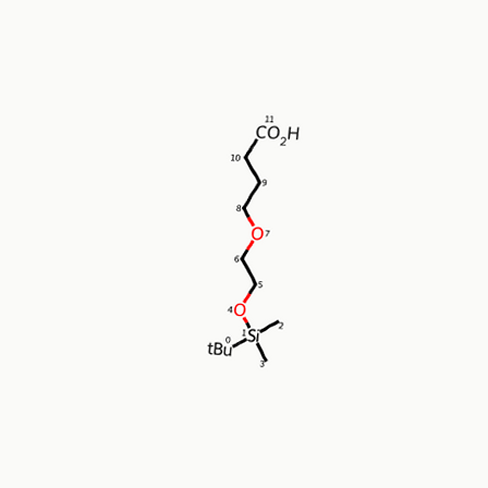 CC(C)(C)[Si](C)(C)OCCOCCCC(=O)O